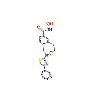 O=C(NO)c1ccc2c(c1)CCCN(c1nc(-c3cccnc3)cs1)C2